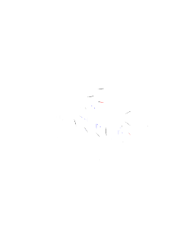 C=CC1=C(C)[C@H](CC2=N/C(=C\c3[nH]c(C[C@H]4NC(=O)C(C)=C4C=C)c(C)c3CCC(=O)O)C(CCC(=O)O)=C2C)NC1=O